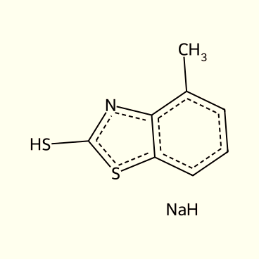 Cc1cccc2sc(S)nc12.[NaH]